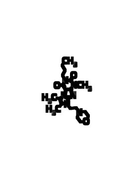 CCCCn1c(=O)c2c(nc3n(CCN4CCOCC4)c(C)c(C)n23)n(C)c1=O